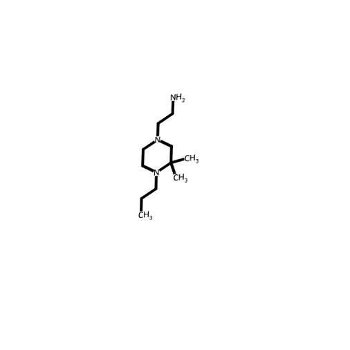 CCCN1CCN(CCN)CC1(C)C